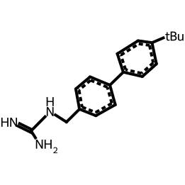 CC(C)(C)c1ccc(-c2ccc(CNC(=N)N)cc2)cc1